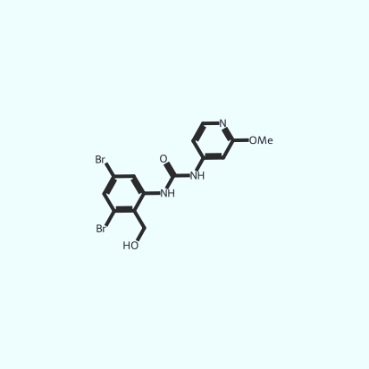 COc1cc(NC(=O)Nc2cc(Br)cc(Br)c2CO)ccn1